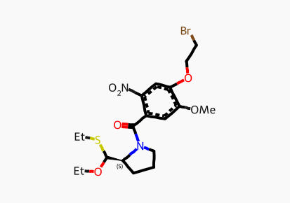 CCOC(SCC)[C@@H]1CCCN1C(=O)c1cc(OC)c(OCCBr)cc1[N+](=O)[O-]